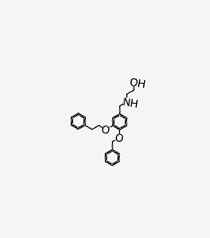 OCCNCc1ccc(OCc2ccccc2)c(OCCc2ccccc2)c1